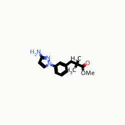 COC(=O)C(C)(C)Cc1cccc(-n2ccc(N)n2)c1